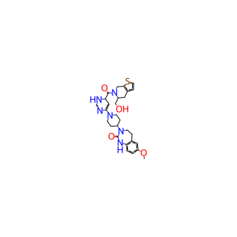 COc1ccc2c(c1)CCN(C1CCN(C3=CC(C(=O)N4Cc5sccc5CC4CO)NC=N3)CC1)C(=O)N2